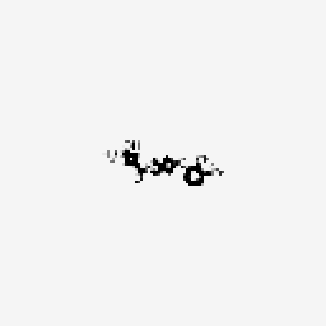 CC(C)c1cccc(OC2CC3(C2)CN(C(=O)C2CC(C)(O)C2)C3)c1C(F)(F)F